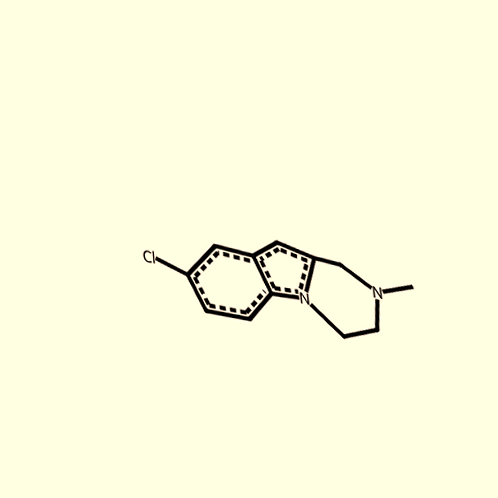 CN1CCn2c(cc3cc(Cl)ccc32)C1